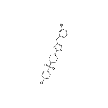 O=S(=O)(c1ccc(Cl)cc1)N1CCN(c2nc(Cc3cccc(Br)c3)cs2)CC1